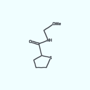 COCNC(=O)C1CCCS1